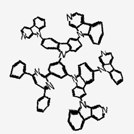 c1ccc(-c2cc(-c3ccccc3)nc(-c3cc(-n4c5ccc(-n6c7ccccc7c7ccncc76)cc5c5cc(-n6c7ccccc7c7ccncc76)ccc54)cc(-n4c5ccc(-n6c7ccccc7c7ccncc76)cc5c5cc(-n6c7ccccc7c7ccncc76)ccc54)c3)n2)cc1